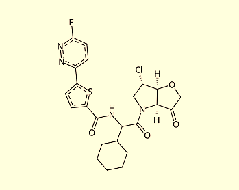 O=C(NC(C(=O)N1C[C@H](Cl)[C@H]2OCC(=O)[C@H]21)C1CCCCC1)c1ccc(-c2ccc(F)nn2)s1